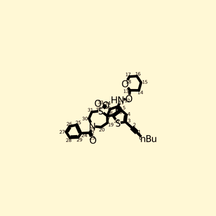 CCCCC#Cc1ccc(C2(CC(=O)NOC3CCCCO3)CCN(C(=O)c3ccccc3)CCS2(=O)=O)s1